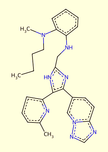 CCCCN(C)c1ccccc1NCc1nc(-c2ccc3ncnn3c2)c(-c2cccc(C)n2)[nH]1